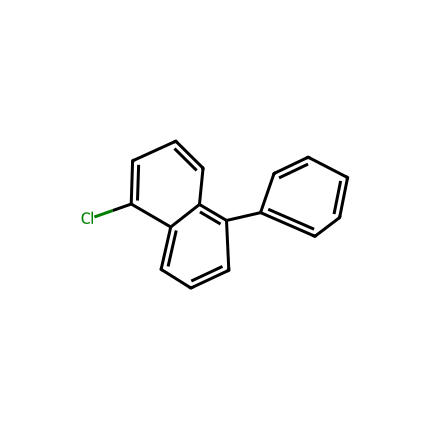 Clc1cccc2c(-c3ccccc3)cccc12